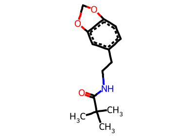 CC(C)(C)C(=O)NCCc1ccc2c(c1)OCO2